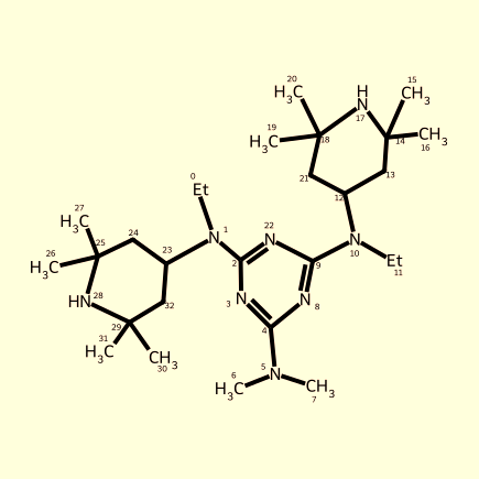 CCN(c1nc(N(C)C)nc(N(CC)C2CC(C)(C)NC(C)(C)C2)n1)C1CC(C)(C)NC(C)(C)C1